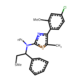 CCCN(c1nc(-c2ccc(Cl)cc2OC)c(C)s1)C(CSC)c1ccccc1